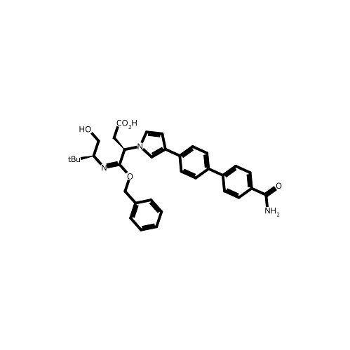 CC(C)(C)[C@@H](CO)N=C(OCc1ccccc1)[C@@H](CC(=O)O)n1ccc(-c2ccc(-c3ccc(C(N)=O)cc3)cc2)c1